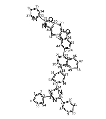 c1ccc(-c2nc(-c3ccccc3)nc(-c3ccc(-c4ccc(-c5ccc6oc7cc8oc(-c9ccccn9)nc8cc7c6c5)c5ccccc45)cc3)n2)cc1